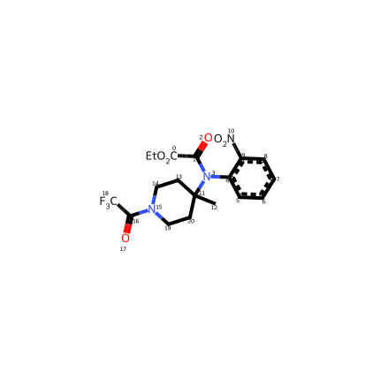 CCOC(=O)C(=O)N(c1ccccc1[N+](=O)[O-])C1(C)CCN(C(=O)C(F)(F)F)CC1